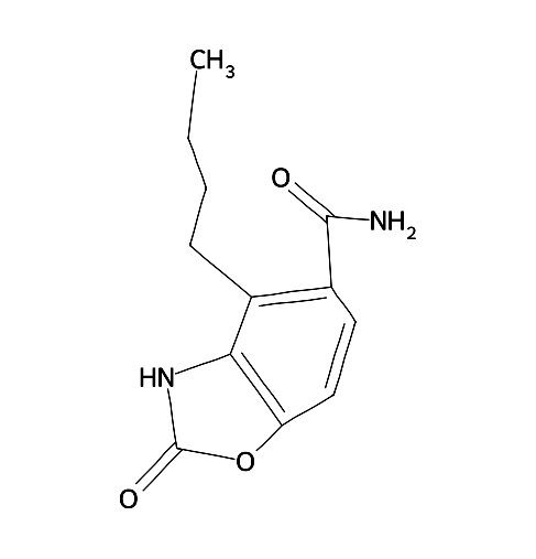 CCCCc1c(C(N)=O)ccc2oc(=O)[nH]c12